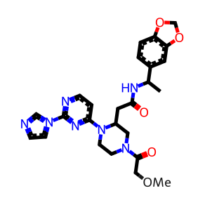 COCC(=O)N1CCN(c2ccnc(-n3ccnc3)n2)C(CC(=O)NC(C)c2ccc3c(c2)OCO3)C1